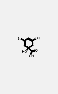 O=C(O)C1(O)C=C(Br)C=C(O)C1